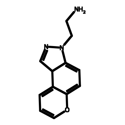 NCCN1N=CC2C3=CC=COC3=CC=C21